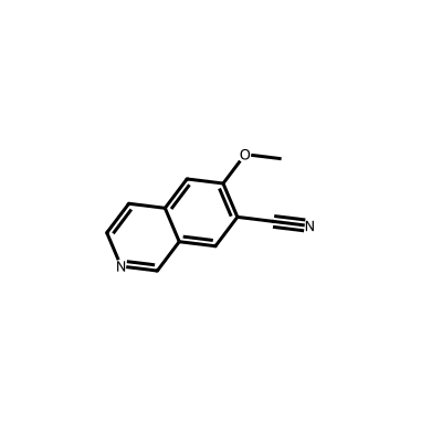 COc1cc2ccncc2cc1C#N